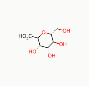 O=C(O)C1O[C@H](CO)[C@@H](O)[C@H](O)[C@@H]1O